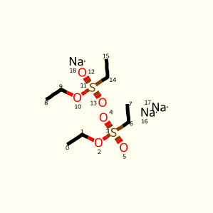 CCOS(=O)(=O)CC.CCOS(=O)(=O)CC.[Na].[Na].[Na]